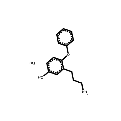 Cl.NCCCc1cc(O)ccc1Oc1ccccc1